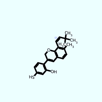 Cc1ccc2c(c1/C=C\C(C)(C)C)OCC(c1ccc(S)cc1O)=C2